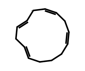 [CH]1/C=C\C/C=C\CCC/C=C/C/C=C/1